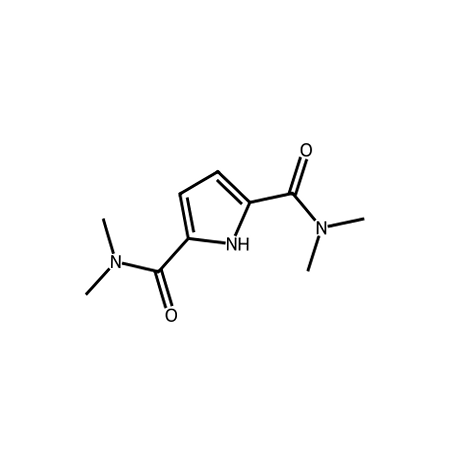 CN(C)C(=O)c1ccc(C(=O)N(C)C)[nH]1